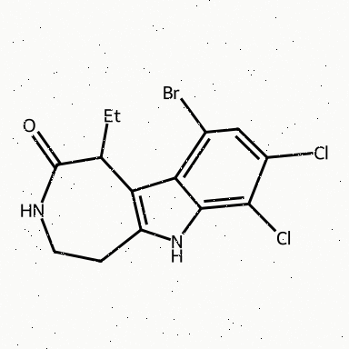 CCC1C(=O)NCCc2[nH]c3c(Cl)c(Cl)cc(Br)c3c21